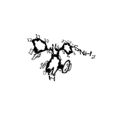 NSc1ccc(-c2nn(-c3ccccc3)c3cc[nH]c(=O)c23)cc1